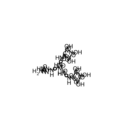 Nc1nc2ncc(CNc3ccc(C(=O)NC(CCC(=O)Nc4ccc(NC(=O)CN5CCN(CC(=O)O)CCN(CC(=O)O)CCN(CC(=O)O)CC5)cc4)C(=O)Nc4ccc(NC(=O)CN5CCN(CC(=O)O)CCN(CC(=O)O)CCN(CC(=O)O)CC5)cc4)cc3)nc2c(=O)[nH]1